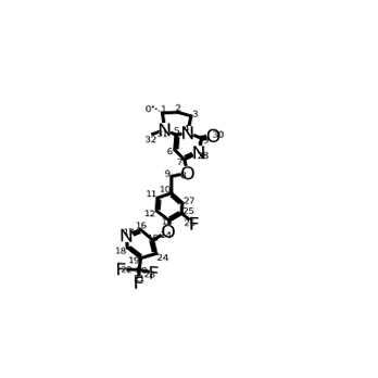 C[C@@H]1CCn2c(cc(OCc3ccc(Oc4cncc(C(F)(F)F)c4)c(F)c3)nc2=O)N1C